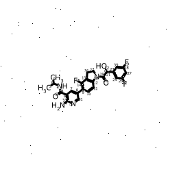 CC(C)NC(=O)c1cc(-c2ccc3c(c2F)CCN3C(=O)[C@@H](O)c2cc(F)cc(F)c2)cnc1N